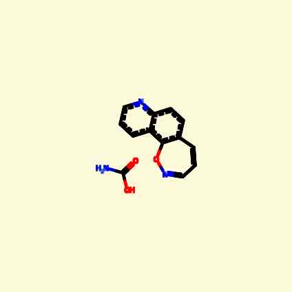 C1=Cc2ccc3ncccc3c2ON=C1.NC(=O)O